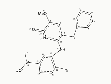 COc1cn(Cc2ccccc2)c(Nc2cc([S+](C)[O-])ccc2C)nc1=O